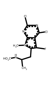 CC(Cc1c(F)c2c(Cl)nc(Cl)nc2n1C)NC(=O)O